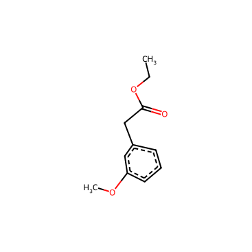 CCOC(=O)Cc1cccc(OC)c1